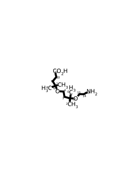 CC(C)(CCOC(C)(C)CCC(=O)O)OCCN